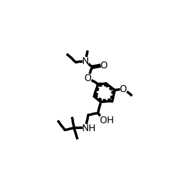 CCN(C)C(=O)Oc1cc(OC)cc(C(O)CNC(C)(C)CC)c1